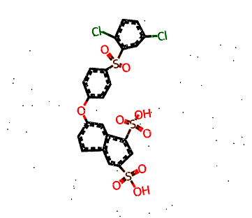 O=S(=O)(O)c1cc(S(=O)(=O)O)c2cc(Oc3ccc(S(=O)(=O)c4cc(Cl)ccc4Cl)cc3)ccc2c1